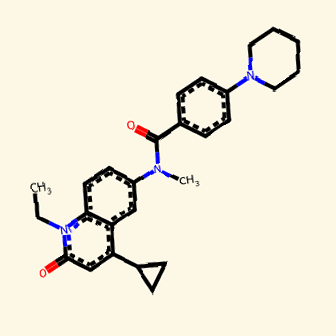 CCn1c(=O)cc(C2CC2)c2cc(N(C)C(=O)c3ccc(N4CCCCC4)cc3)ccc21